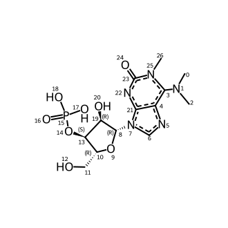 CN(C)c1c2ncn([C@@H]3O[C@H](CO)[C@@H](OP(=O)(O)O)[C@H]3O)c2nc(=O)n1C